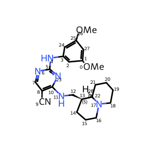 COc1cc(Nc2ncc(C#N)c(NC[C@@H]3CCCN4CCCC[C@H]34)n2)cc(OC)c1